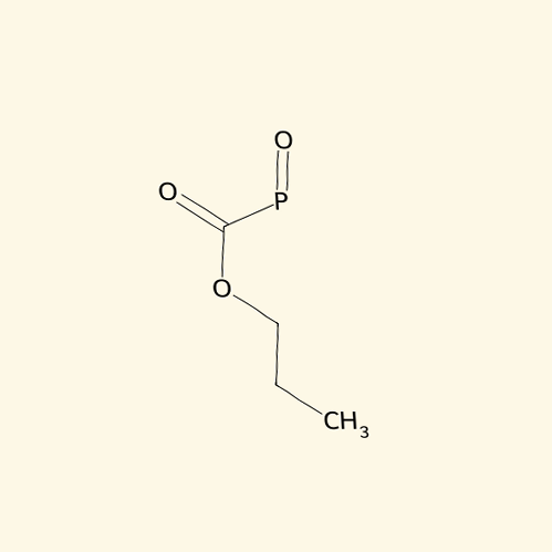 CCCOC(=O)P=O